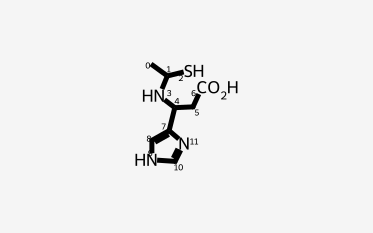 CC(S)NC(CC(=O)O)c1c[nH]cn1